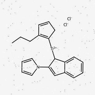 CCCC1=[C]([Ti+2][CH]2C(n3cccc3)=Cc3ccccc32)CC=C1.[Cl-].[Cl-]